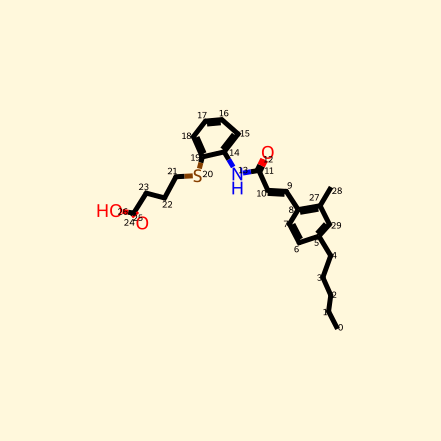 CCCCCc1ccc(C=CC(=O)Nc2ccccc2SCCCC(=O)O)c(C)c1